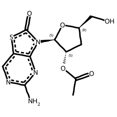 CC(=O)O[C@H]1C[C@H](CO)O[C@@H]1n1c(=O)sc2cnc(N)nc21